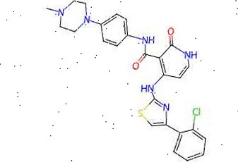 CN1CCN(c2ccc(NC(=O)c3c(Nc4nc(-c5ccccc5Cl)cs4)cc[nH]c3=O)cc2)CC1